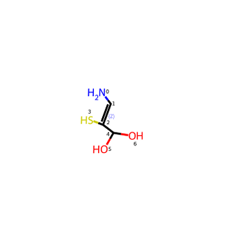 N/C=C(\S)C(O)O